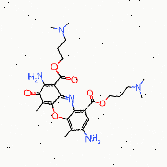 Cc1c2oc3c(C)c(N)cc(C(=O)OCCCN(C)C)c3nc-2c(C(=O)OCCCN(C)C)c(N)c1=O